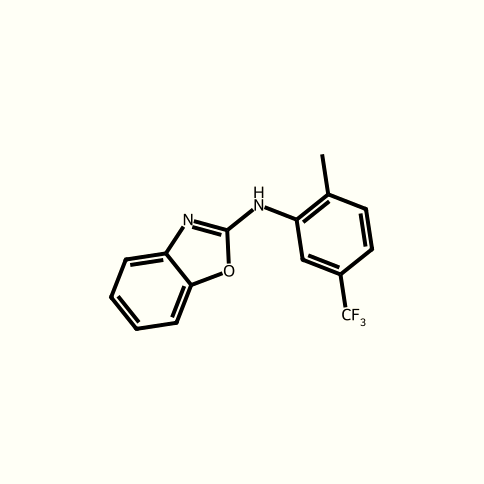 Cc1ccc(C(F)(F)F)cc1Nc1nc2ccccc2o1